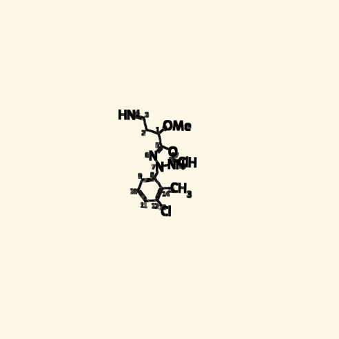 COC(CC=N)C1=NN(c2cccc(Cl)c2C)NO1.Cl